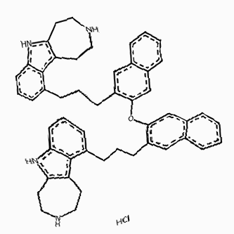 Cl.c1ccc2cc(Oc3cc4ccccc4cc3CCCc3cccc4[nH]c5c(c34)CCNCC5)c(CCCc3cccc4[nH]c5c(c34)CCNCC5)cc2c1